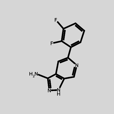 Nc1n[nH]c2cnc(-c3cccc(F)c3F)cc12